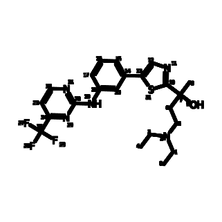 CCN(CC)CCC(C)(O)c1ncc(-c2cccc(Nc3nccc(C(F)(F)F)n3)c2)s1